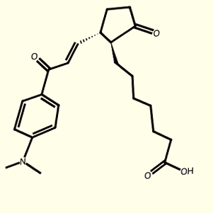 CN(C)c1ccc(C(=O)C=C[C@@H]2CCC(=O)[C@H]2CCCCCCC(=O)O)cc1